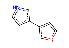 c1cc(-c2ccoc2)c[nH]1